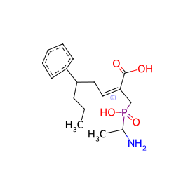 CCCC(C/C=C(/CP(=O)(O)C(C)N)C(=O)O)c1ccccc1